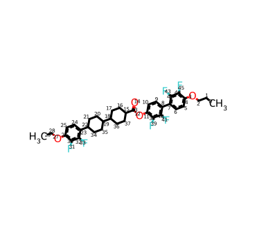 CCCOc1ccc(-c2ccc(OC(=O)C3CCC(C4CCC(c5ccc(OCC)c(F)c5F)CC4)CC3)c(F)c2F)c(F)c1F